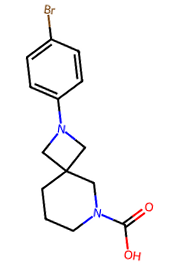 O=C(O)N1CCCC2(C1)CN(c1ccc(Br)cc1)C2